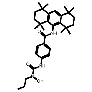 CCCN(O)C(=O)Nc1ccc(C(=O)Nc2c3c(cc4c2C(C)(C)CCC4(C)C)C(C)(C)CCC3(C)C)cc1